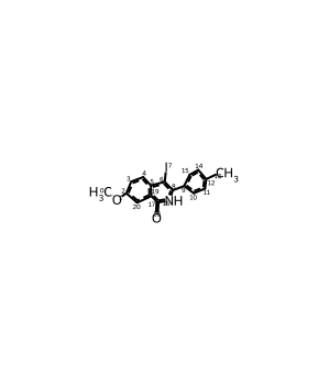 COc1ccc2c(I)c(-c3ccc(C)cc3)[nH]c(=O)c2c1